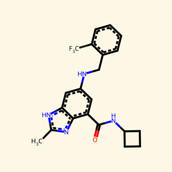 Cc1nc2c(C(=O)NC3CCC3)cc(NCc3ccccc3C(F)(F)F)cc2[nH]1